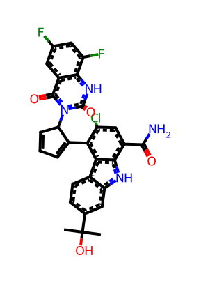 CC(C)(O)c1ccc2c(c1)[nH]c1c(C(N)=O)cc(Cl)c(C3=CC=CC3n3c(=O)[nH]c4c(F)cc(F)cc4c3=O)c12